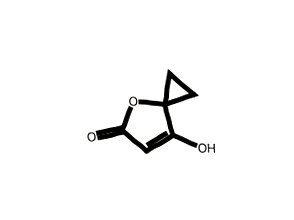 O=C1C=C(O)C2(CC2)O1